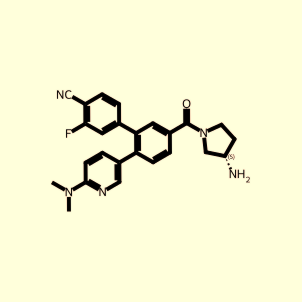 CN(C)c1ccc(-c2ccc(C(=O)N3CC[C@H](N)C3)cc2-c2ccc(C#N)c(F)c2)cn1